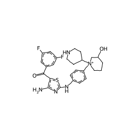 Nc1nc(Nc2ccc([N+]3(C4CCNCC4)CCCC(O)C3)cc2)sc1C(=O)c1cc(F)cc(F)c1